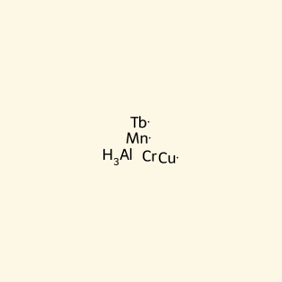 [AlH3].[Cr].[Cu].[Mn].[Tb]